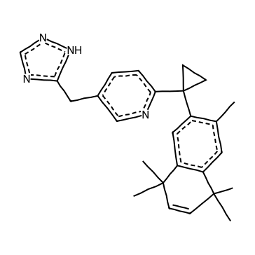 Cc1cc2c(cc1C1(c3ccc(Cc4ncn[nH]4)cn3)CC1)C(C)(C)C=CC2(C)C